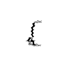 CCCCCCCCCCCCCCCCCCN1C=CN(CCCCCCC)C1CCCCCCCCCCCC